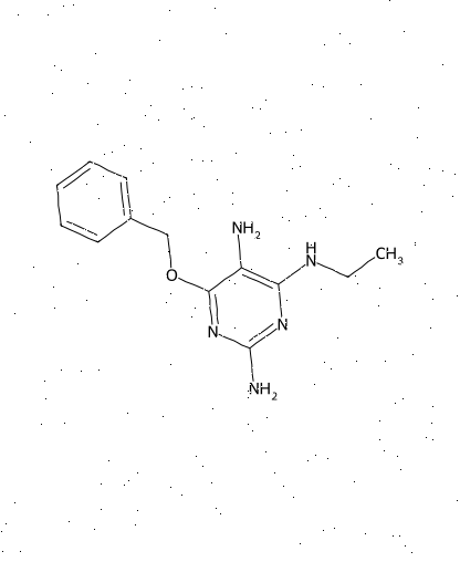 CCNc1nc(N)nc(OCc2ccccc2)c1N